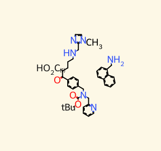 Cn1ccnc1CNCCC[C@H](C(=O)O)C(=O)c1ccc(CN(Cc2ccccn2)C(=O)OC(C)(C)C)cc1.NCc1cccc2ccccc12